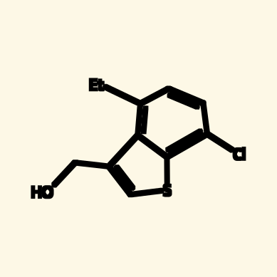 CCc1ccc(Cl)c2scc(CO)c12